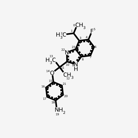 CC(C)c1c(F)ccc2[nH]c(C(C)(C)Oc3ccc(N)cc3)nc12